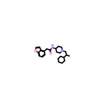 CC(CN1CCC(NC(=O)Cc2cccc3occc23)CC1)C1CCCCC1